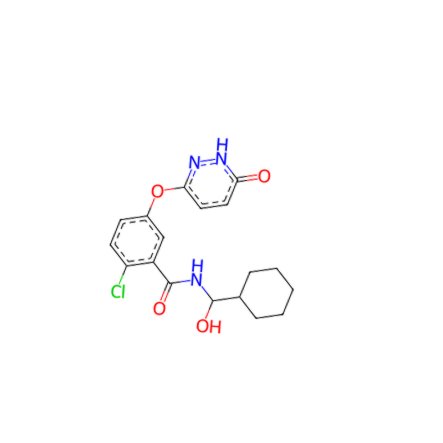 O=C(NC(O)C1CCCCC1)c1cc(Oc2ccc(=O)[nH]n2)ccc1Cl